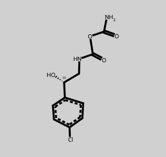 NC(=O)OC(=O)NC[C@@H](O)c1ccc(Cl)cc1